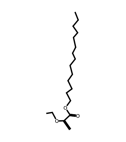 C=C(OCC)C(=O)OCCCCCCCCCCCCCC